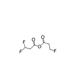 O=C(CCF)OC(=O)CC(F)F